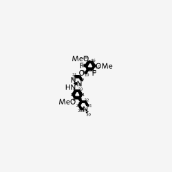 COc1cc(Nc2ncc(OCc3c(F)c(OC)cc(OC)c3F)cn2)ccc1C1CCN(C)CC1